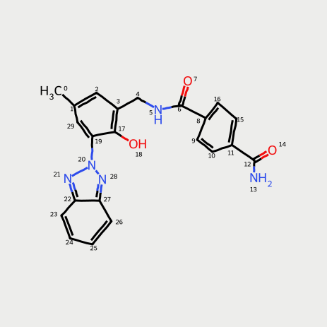 Cc1cc(CNC(=O)c2ccc(C(N)=O)cc2)c(O)c(-n2nc3ccccc3n2)c1